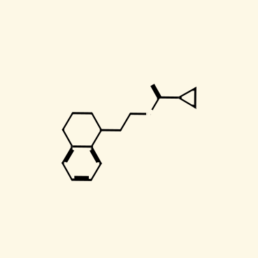 O=C(NCCC1CCCc2ccccc21)C1CC1